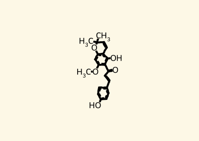 COc1cc2c(c(O)c1C(=O)C=Cc1ccc(O)cc1)C=CC(C)(C)O2